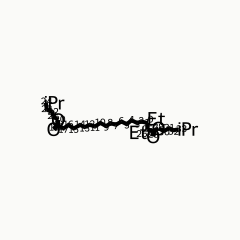 CCC(CCCCCCCCCCCCCCCCC(=O)OCCCC(C)C)C(CC)C(=O)OCCCC(C)C